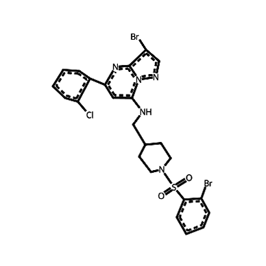 O=S(=O)(c1ccccc1Br)N1CCC(CNc2cc(-c3ccccc3Cl)nc3c(Br)cnn23)CC1